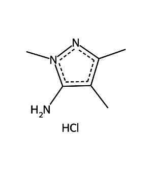 Cc1nn(C)c(N)c1C.Cl